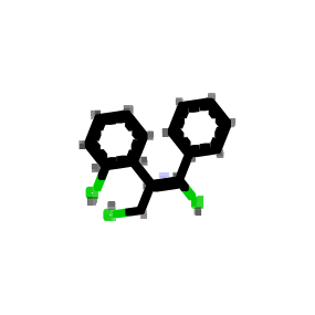 ClC/C(=C(\Cl)c1ccccc1)c1ccccc1Cl